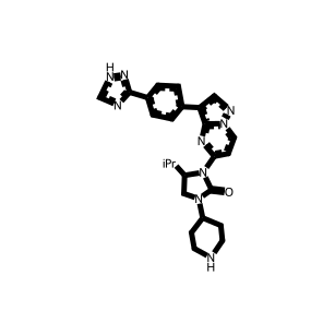 CC(C)C1CN(C2CCNCC2)C(=O)N1c1ccn2ncc(-c3ccc(-c4nc[nH]n4)cc3)c2n1